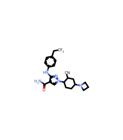 N#CC1CC(N2CCC2)CCC1n1cc(C(N)=O)c(Nc2ccc(CC(F)(F)F)cc2)n1